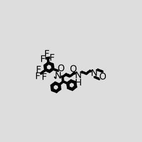 CN(C(=O)c1cc(C(F)(F)F)cc(C(F)(F)F)c1)C(C=CC(=O)NCCCN1CCOCC1)C(c1ccccc1)c1ccccc1